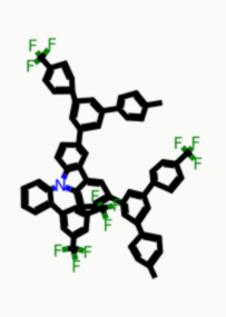 Cc1ccc(-c2cc(-c3ccc(C(F)(F)F)cc3)cc(-c3ccc4c(c3)c3cc(-c5cc(-c6ccc(C)cc6)cc(-c6ccc(C(F)(F)F)cc6)c5)ccc3n4-c3ccccc3-c3cc(C(F)(F)F)cc(C(F)(F)F)c3)c2)cc1